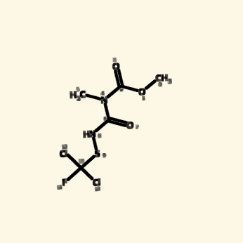 COC(=O)N(C)C(=O)NSC(F)(Cl)Cl